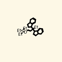 CCC(CCO[Si](CC)(CC)CC)(C1CCC2CC=CC=C21)C1CCC2CC=CC=C21